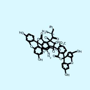 CC(C)C[C@H](N)C(=O)C(Cl)(C(=O)C(Cl)(C(=O)[C@@H](N)CC(C)C)c1c(C(=O)O)ccc2c1C(=O)OC21c2ccc(O)cc2Oc2cc(O)ccc21)c1c(C(=O)O)ccc2c1C(=O)OC21c2ccc(O)cc2Oc2cc(O)ccc21